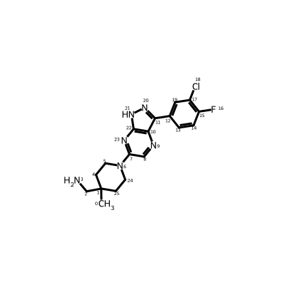 CC1(CN)CCN(c2cnc3c(-c4ccc(F)c(Cl)c4)n[nH]c3n2)CC1